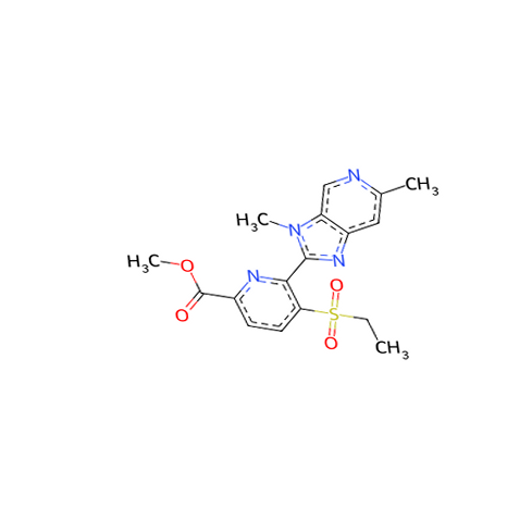 CCS(=O)(=O)c1ccc(C(=O)OC)nc1-c1nc2cc(C)ncc2n1C